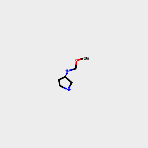 CC(C)(C)OCN[C@@H]1CCNC1